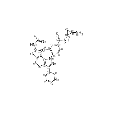 CC(=O)Nc1nc2c(s1)-c1c(c(-c3cccnc3)nn1-c1ccc(C(=O)N[C@@H]3C[C@H]3N)cc1Cl)CC2